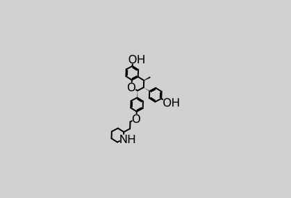 C[C@@H]1c2cc(O)ccc2O[C@@H](c2ccc(OCCC3CCCCN3)cc2)[C@H]1c1ccc(O)cc1